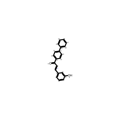 O=C(/C=C/c1cccc(O)c1)c1ccc(-c2ccccc2)cc1